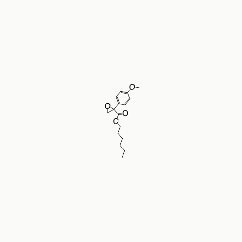 CCCCCCOC(=O)C1(c2ccc(OC)cc2)CO1